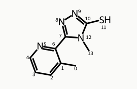 Cc1cccnc1-c1nnc(S)n1C